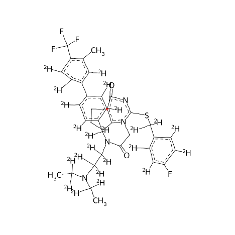 [2H]c1c([2H])c(C([2H])([2H])Sc2nc(=O)c3c(n2CC(=O)N(C([2H])([2H])c2c([2H])c([2H])c(-c4c([2H])c([2H])c(C(F)(F)F)c(C)c4[2H])c([2H])c2[2H])C([2H])([2H])C([2H])([2H])N(C([2H])([2H])C)C([2H])([2H])C)CCC3)c([2H])c([2H])c1F